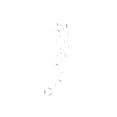 CC(C)C1=C2[C@H]3CC[C@@H]4[C@@]5(C)CC[C@H](OC(=O)[C@H]6C[C@@H](C(=O)OCc7ccccc7)C6(C)C)C(C)(C)[C@@H]5CC[C@@]4(C)[C@]3(C)CC[C@@]2(C(=O)Cl)CC1=O